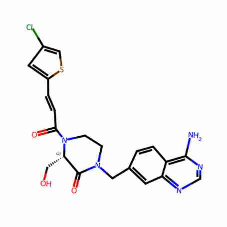 Nc1ncnc2cc(CN3CCN(C(=O)C=Cc4cc(Cl)cs4)[C@@H](CO)C3=O)ccc12